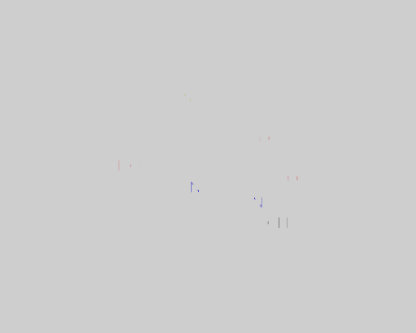 CN(C(=O)COc1ccc2c(c1)SCC2)C(CN1CC[C@H](O)C1)c1ccccc1